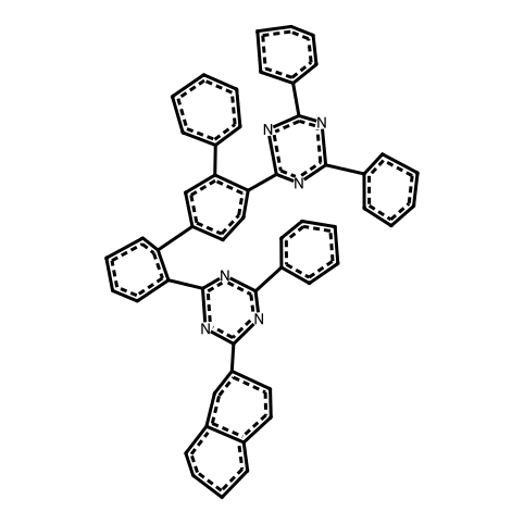 c1ccc(-c2nc(-c3ccc4ccccc4c3)nc(-c3ccccc3-c3ccc(-c4nc(-c5ccccc5)nc(-c5ccccc5)n4)c(-c4ccccc4)c3)n2)cc1